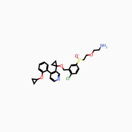 NCCOCC[S+]([O-])c1ccc(Cl)c(COC2(c3cnccc3-c3ccccc3OC3CC3)CC2)c1